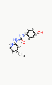 Cc1ccnc(NC(=O)Nc2ccc(O)cc2)c1